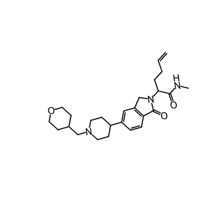 C=CCCC(C(=O)NC)N1Cc2cc(C3CCN(CC4CCOCC4)CC3)ccc2C1=O